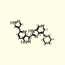 c1n[nH]cc1-c1ccc2[nH]nc(-c3nc4c(N5CCCCC5)cncc4[nH]3)c2n1